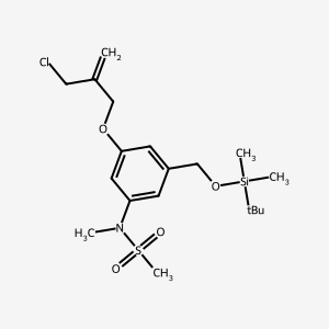 C=C(CCl)COc1cc(CO[Si](C)(C)C(C)(C)C)cc(N(C)S(C)(=O)=O)c1